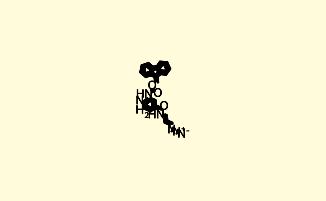 [N-]=[N+]=NCCCNC(=O)c1ccc(N)c(NC(=O)OCC2c3ccccc3-c3ccccc32)c1